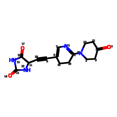 O=C1CCN(C2=NC=C(C#CC3NC(=O)NC3=O)CC2)CC1